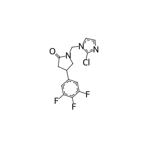 O=C1CC(c2cc(F)c(F)c(F)c2)CN1Cn1ccnc1Cl